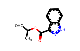 CC(C=O)OC(=O)c1n[nH]c2ccccc12